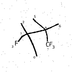 CC(C)(F)C(C)(C)C(F)(F)F